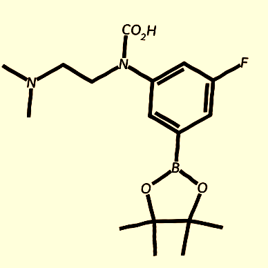 CN(C)CCN(C(=O)O)c1cc(F)cc(B2OC(C)(C)C(C)(C)O2)c1